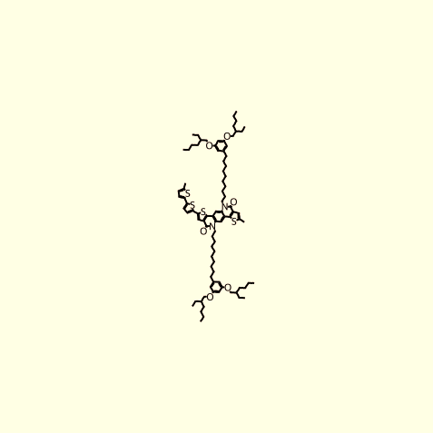 CCCCC(CC)COc1cc(CCCCCCCCCCn2c(=O)c3cc(C)sc3c3cc4c(cc32)c2sc(-c3ccc(-c5ccc(C)s5)s3)cc2c(=O)n4CCCCCCCCCCc2cc(OCC(CC)CCCC)cc(OCC(CC)CCCC)c2)cc(OCC(CC)CCCC)c1